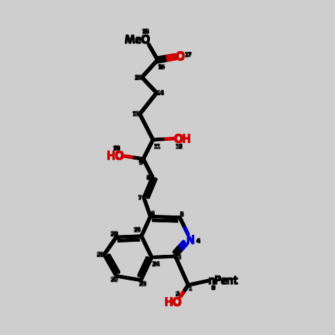 CCCCCC(O)c1ncc(/C=C/C(O)C(O)CCCC(=O)OC)c2ccccc12